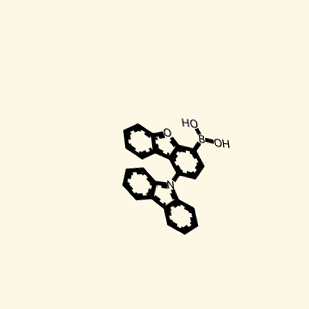 OB(O)c1ccc(-n2c3ccccc3c3ccccc32)c2c1oc1ccccc12